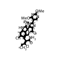 C=C/C(Cl)=C(\C=C/CN1C(=O)c2nc(-c3cnc(OC)nc3OC)n(C(C)C)c2C12C(=O)Nc1cc(Cl)ccc12)C(N)=O